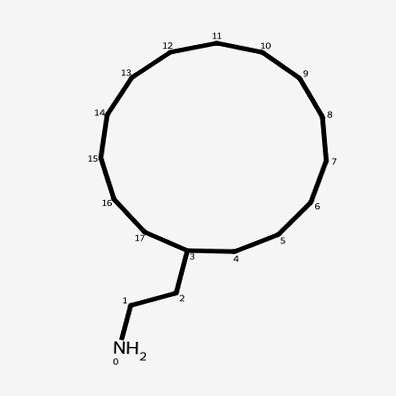 NCCC1CCCCCCCCCCCCCC1